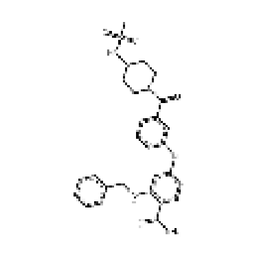 CS(=O)(=O)NC1CCN(C(=O)c2cccc(Nc3cc(NCc4ccccc4)c(C(N)=O)cn3)c2)CC1